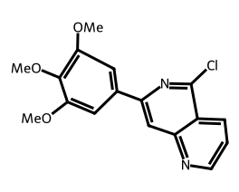 COc1cc(-c2cc3ncccc3c(Cl)n2)cc(OC)c1OC